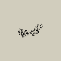 CCC1CCC(C(=O)CC(CCCCC(=O)CC2(CC3CCCCC3)CC2)C(C)C)CC1